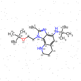 CCCCc1nc2c(N[Si](C)(C)C(C)(C)C)cc3c(c2n1CCO[Si](C)(C)C(C)(C)C)NCCC3